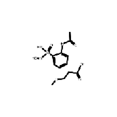 CC(=O)Nc1ccccc1[As](=O)(O)OO.COCCC(=O)O